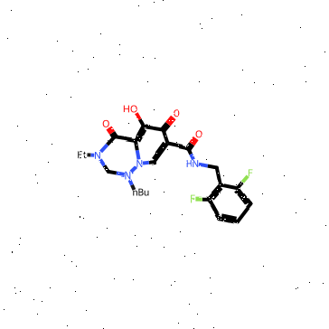 CCCCN1CN(CC)C(=O)c2c(O)c(=O)c(C(=O)NCc3c(F)cccc3F)cn21